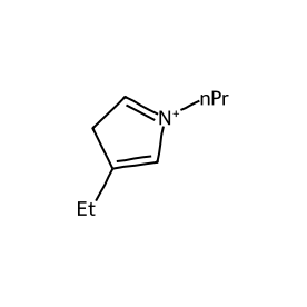 CCC[N+]1=CCC(CC)=C1